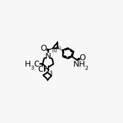 CC1(C)CN(C(=O)[C@H]2C[C@@H]2c2ccc(C(N)=O)cc2)CCN1C1CCC1